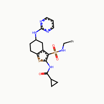 CC(C)CNS(=O)(=O)c1c(NC(=O)C2CC2)sc2c1CC(Nc1ncccn1)CC2